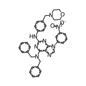 O=[N+]([O-])c1cccc(-n2cnc3c(N(Cc4ccccc4)Cc4ccccc4)nc(Nc4ccc(CN5CCOCC5)cc4)nc32)c1